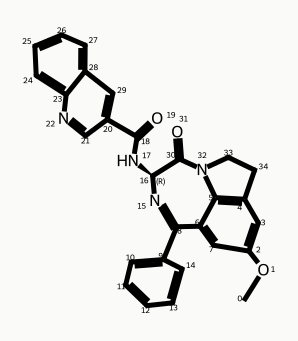 COc1cc2c3c(c1)C(c1ccccc1)=N[C@@H](NC(=O)c1cnc4ccccc4c1)C(=O)N3CC2